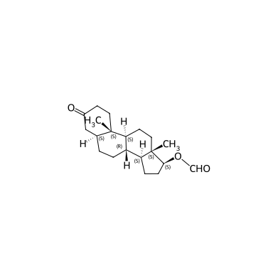 C[C@]12CCC(=O)C[C@@H]1CC[C@@H]1[C@@H]2CC[C@]2(C)[C@@H](OC=O)CC[C@@H]12